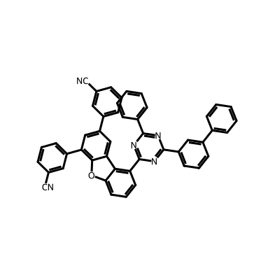 N#Cc1cccc(-c2cc(-c3cccc(C#N)c3)c3oc4cccc(-c5nc(-c6ccccc6)nc(-c6cccc(-c7ccccc7)c6)n5)c4c3c2)c1